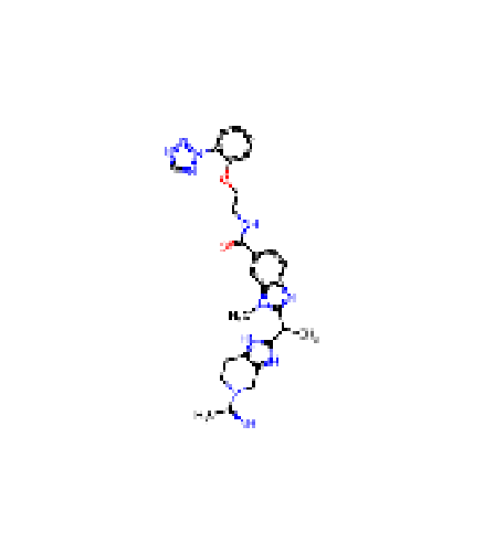 CC(=N)N1CCc2[nH]c(C(C)c3nc4ccc(C(=O)NCCOc5ccccc5-n5ncnn5)cc4n3C)nc2C1